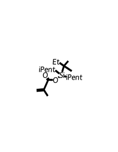 C=C(C)C(=O)O[Si](C(C)CCC)(C(C)CCC)C(C)(C)CC